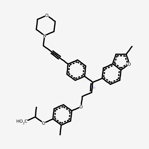 Cc1cc2cc(/C(=C/COc3ccc(OC(C)C(=O)O)c(C)c3)c3ccc(C#CCN4CCOCC4)cc3)ccc2o1